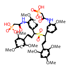 COc1cc(OC)c(C=CC(c2ccc(OC)c(NC(=O)CP(=O)(O)O)c2)S(=O)(=O)C(C=Cc2c(OC)cc(OC)cc2OC)c2ccc(OC)c(NC(=O)CP(=O)(O)O)c2)c(OC)c1